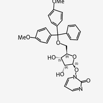 COc1ccc(C(OC[C@H]2O[C@@H](On3cccnc3=O)[C@H](O)[C@@H]2O)(c2ccccc2)c2ccc(OC)cc2)cc1